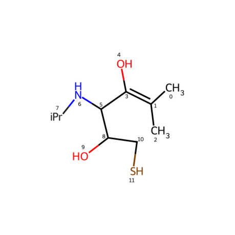 CC(C)=C(O)C(NC(C)C)C(O)CS